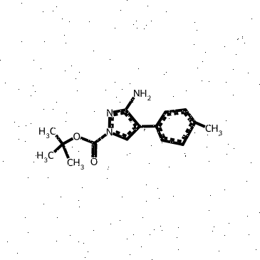 Cc1ccc(-c2cn(C(=O)OC(C)(C)C)nc2N)cc1